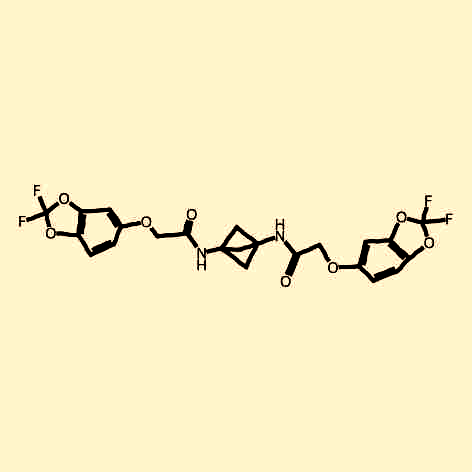 O=C(COc1ccc2c(c1)OC(F)(F)O2)NC12CC(NC(=O)COc3ccc4c(c3)OC(F)(F)O4)(C1)C2